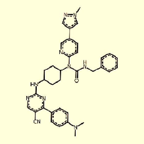 CN(C)c1ccc(-c2nc(NC3CCC(N(C(=O)NCc4ccccc4)c4ccc(-c5cnn(C)c5)cn4)CC3)ncc2C#N)cc1